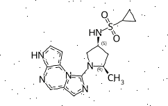 C[C@@H]1C[C@H](NS(=O)(=O)C2CC2)CN1c1ncc2cnc3[nH]ccc3n12